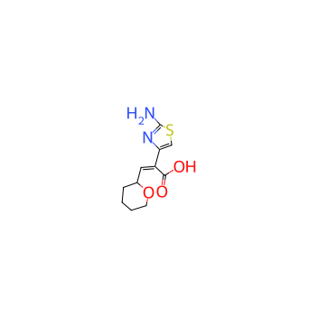 Nc1nc(C(=CC2CCCCO2)C(=O)O)cs1